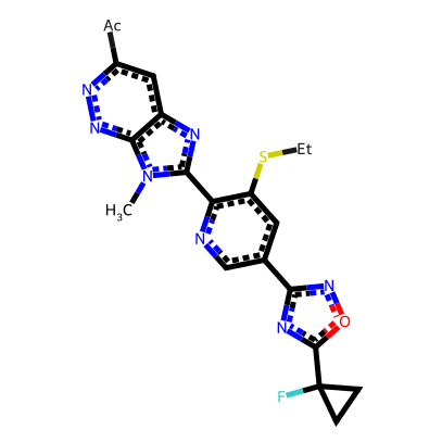 CCSc1cc(-c2noc(C3(F)CC3)n2)cnc1-c1nc2cc(C(C)=O)nnc2n1C